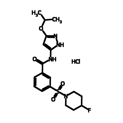 CC(C)Oc1cc(NC(=O)c2cccc(S(=O)(=O)N3CCC(F)CC3)c2)[nH]n1.Cl